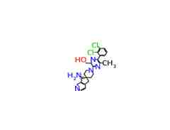 Cc1nc(N2CCC3(CC2)Cc2ccncc2[C@H]3N)c(CO)nc1-c1cccc(Cl)c1Cl